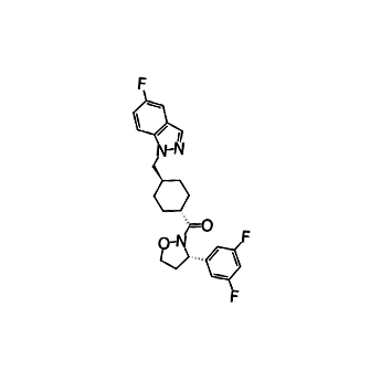 O=C([C@H]1CC[C@H](Cn2ncc3cc(F)ccc32)CC1)N1OCC[C@H]1c1cc(F)cc(F)c1